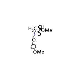 C=C(/C=C/COCc1ccc(OC)cc1)C(=O)N(C)OC